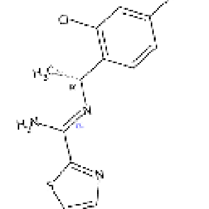 C[C@@H](/N=C(\N)c1nccs1)c1ccc(F)cc1Cl